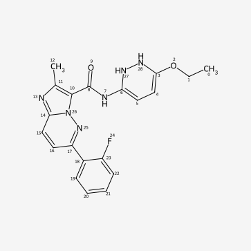 CCOC1=CC=C(NC(=O)c2c(C)nc3ccc(-c4ccccc4F)nn23)NN1